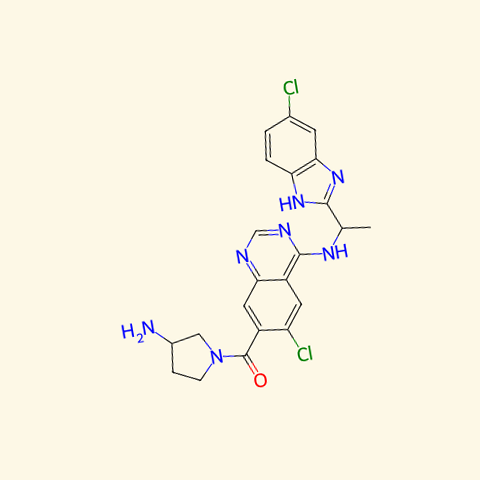 CC(Nc1ncnc2cc(C(=O)N3CCC(N)C3)c(Cl)cc12)c1nc2cc(Cl)ccc2[nH]1